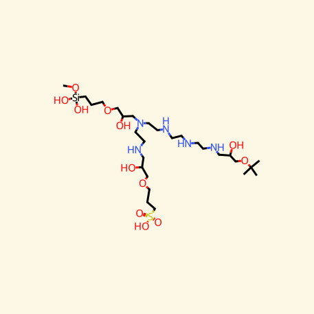 CO[Si](O)(O)CCCOCC(O)CN(CCNCCNCCNCC(O)COC(C)(C)C)CCNCC(O)COCCCS(=O)(=O)O